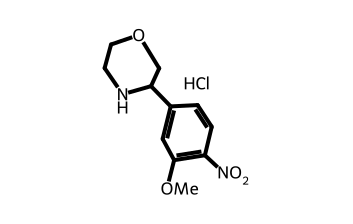 COc1cc(C2COCCN2)ccc1[N+](=O)[O-].Cl